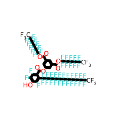 O=C(OC(F)(F)C(F)(F)C(F)(F)C(F)(F)C(F)(F)C(F)(F)F)c1cc(OC(=O)c2c(F)c(F)c(O)c(F)c2C(F)(F)C(F)(F)C(F)(F)C(F)(F)C(F)(F)C(F)(F)C(F)(F)C(F)(F)C(F)(F)C(F)(F)C(F)(F)C(F)(F)F)cc(C(=O)OC(F)(F)C(F)(F)C(F)(F)C(F)(F)C(F)(F)C(F)(F)F)c1